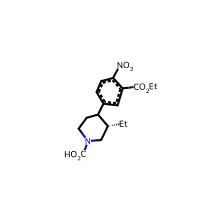 CCOC(=O)c1cc(C2CCN(C(=O)O)C[C@H]2CC)ccc1[N+](=O)[O-]